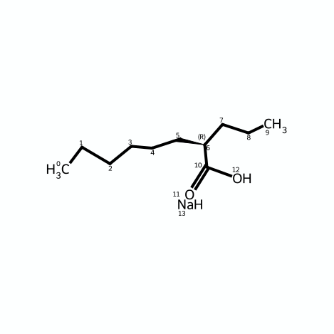 CCCCCC[C@@H](CCC)C(=O)O.[NaH]